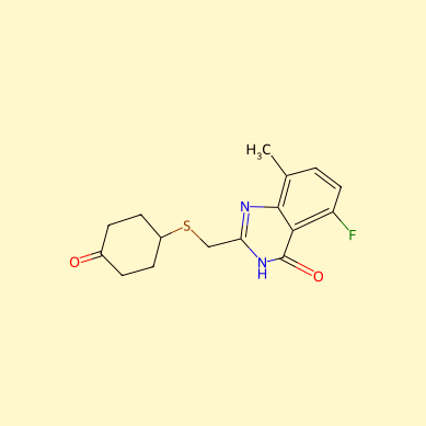 Cc1ccc(F)c2c(=O)[nH]c(CSC3CCC(=O)CC3)nc12